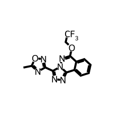 Cc1nc(-c2nnc3c4ccccc4c(OCC(F)(F)F)nn23)no1